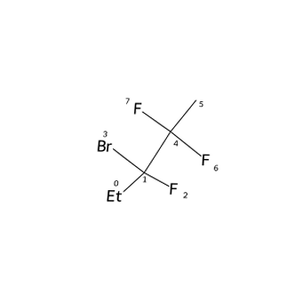 CCC(F)(Br)C(C)(F)F